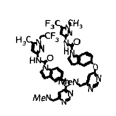 CNCc1cc(Oc2ccc3c(ccn3C(=O)Nc3cc(C(F)(F)F)n(C)n3)c2)ncn1.CNCc1cc(Oc2ccc3c(ccn3C(=O)Nc3cc(C)n(CC(F)(F)F)n3)c2)ncn1